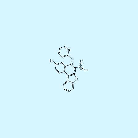 CC(C)(C)[S@+]([O-])N[C@@H](Cc1ccccn1)c1cc(Br)ccc1-c1noc2ccccc12